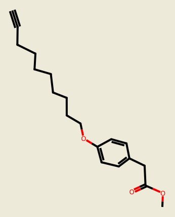 C#CCCCCCCCCOc1ccc(CC(=O)OC)cc1